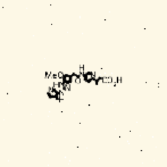 COc1cc(CC(=O)Nc2ccc(C(C)CC(=O)O)nc2)cc2nc(Nc3cnccc3C)[nH]c12